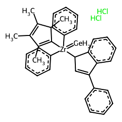 CC1=C(C)C(C)[C]([Zr](=[GeH2])([c]2ccccc2)([c]2ccccc2)[CH]2C=C(c3ccccc3)c3ccccc32)=C1C.Cl.Cl